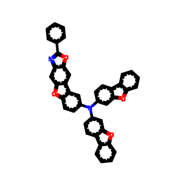 c1ccc(-c2nc3cc4oc5ccc(N(c6ccc7c(c6)oc6ccccc67)c6ccc7c(c6)oc6ccccc67)cc5c4cc3o2)cc1